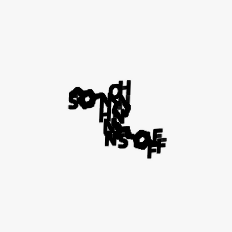 O=C(NCc1ccc2sccc2c1)[C@@H]1CN(c2ncnc3sc(-c4ccc(C(F)(F)F)cc4)cc23)CCN1